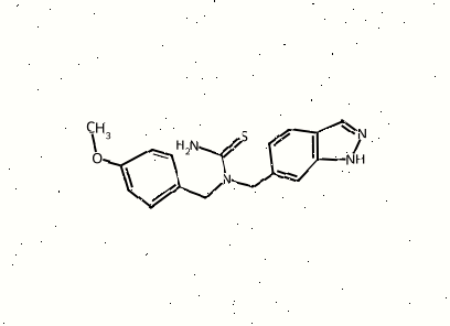 COc1ccc(CN(Cc2ccc3cn[nH]c3c2)C(N)=S)cc1